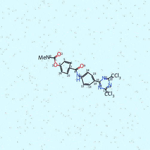 CNC(=O)Oc1ccc(C(=O)Nc2ccc(-c3nc(C(Cl)(Cl)Cl)nc(C(Cl)(Cl)Cl)n3)cc2)cc1